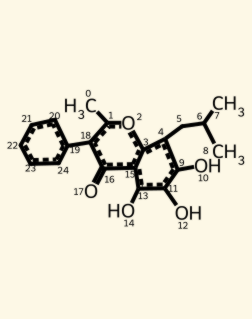 Cc1oc2c(CC(C)C)c(O)c(O)c(O)c2c(=O)c1-c1ccccc1